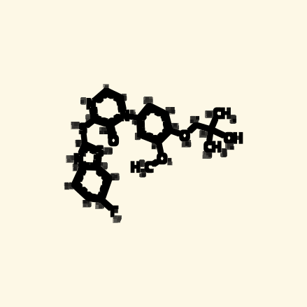 COc1cc(-n2ccnc(Sc3nc4ccc(F)cc4s3)c2=O)ccc1OCC(C)(C)O